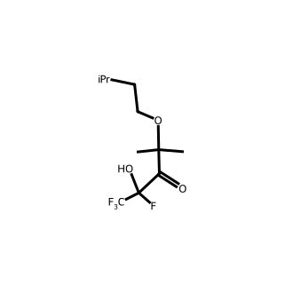 CC(C)CCOC(C)(C)C(=O)C(O)(F)C(F)(F)F